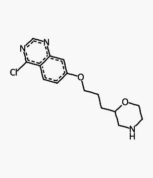 Clc1ncnc2cc(OCCCC3CNCCO3)ccc12